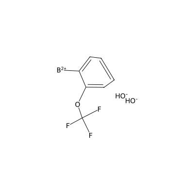 [B+2]c1ccccc1OC(F)(F)F.[OH-].[OH-]